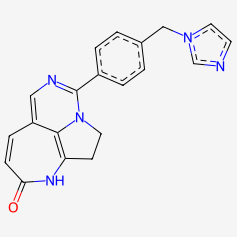 O=C1C=CC2=CN=C(c3ccc(Cn4ccnc4)cc3)N3CCC(=C23)N1